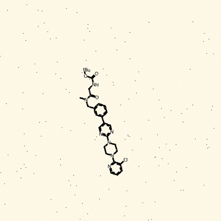 CN(Cc1cccc(-c2cnc(N3CCN(c4ncccc4Cl)CC3)nc2)c1)C(=O)CNC(=O)OC(C)(C)C